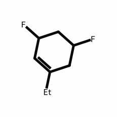 CCC1=CC(F)CC(F)C1